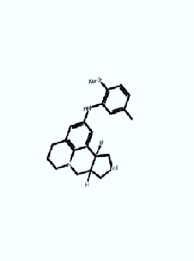 COc1ccc(C)cc1Nc1cc2c3c(c1)[C@@H]1CNC[C@@H]1CN3CCC2